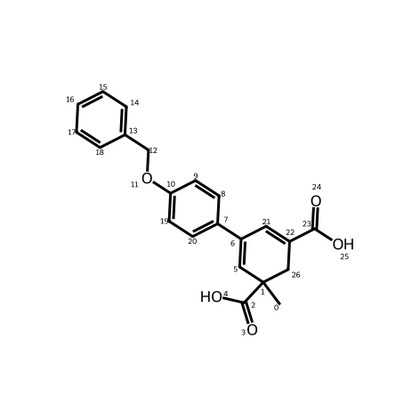 CC1(C(=O)O)C=C(c2ccc(OCc3ccccc3)cc2)C=C(C(=O)O)C1